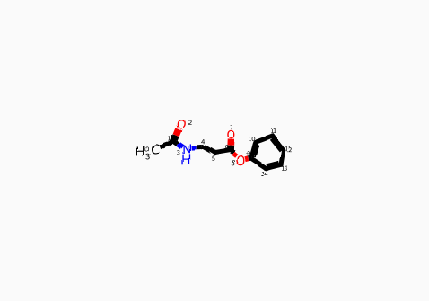 CC(=O)NCCC(=O)Oc1ccccc1